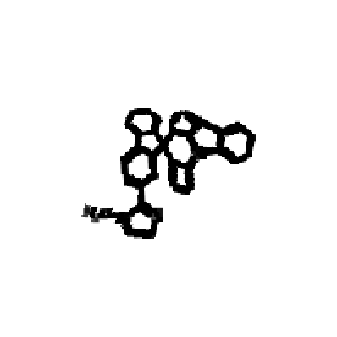 Cn1ccnc1-c1ccc2c(c1)C1(c3ccccc3-2)c2ccccc2-n2c3ccccc3c3cccc1c32